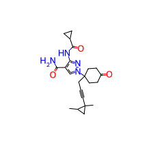 CC1CC1(C)C#CCC1(n2cc(C(N)=O)c(NC(=O)C3CC3)n2)CCC(=O)CC1